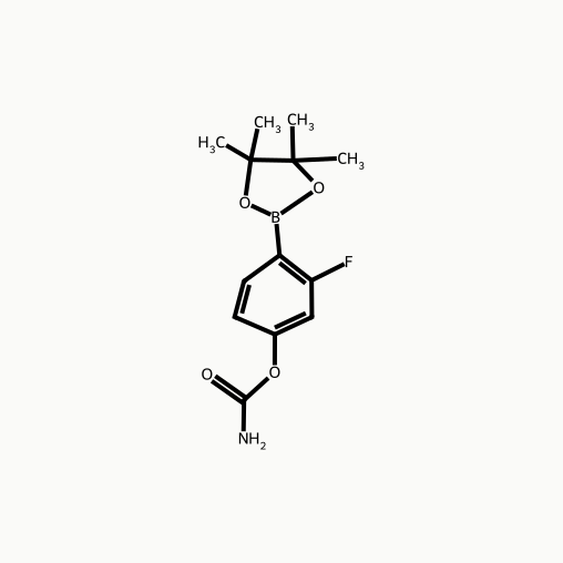 CC1(C)OB(c2ccc(OC(N)=O)cc2F)OC1(C)C